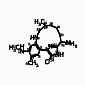 CNc1cc2c(cc1C)-c1nc([nH]c1Cl)C(N)CCCC(C)CN2